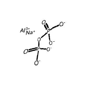 O=P([O-])([O-])OP(=O)([O-])[O-].[Al+3].[Na+]